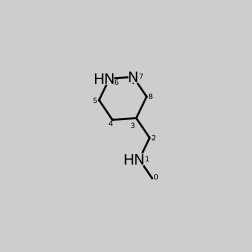 CNCC1CCN[N]C1